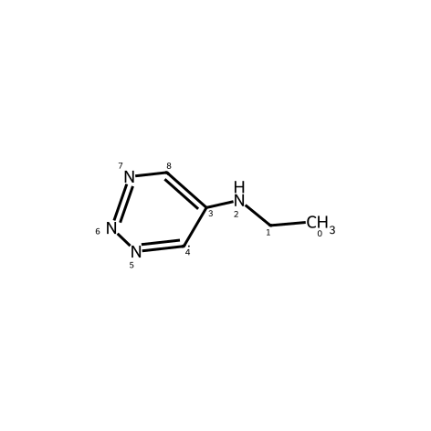 CCNc1[c]nnnc1